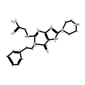 NC(=O)CNc1nc2nc(N3CCNCC3)[nH]c2c(=O)n1CCc1ccccc1